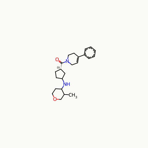 CC1COCCC1NC1CC[C@H](C(=O)N2CC=C(c3ccccc3)CC2)C1